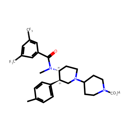 Cc1ccc([C@@H]2CN(C3CCN(C(=O)O)CC3)CC[C@H]2N(C)C(=O)c2cc(C(F)(F)F)cc(C(F)(F)F)c2)cc1